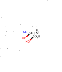 N.O=S(=O)(O)O.O=S(=O)(O)O.[AlH3]